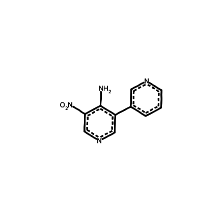 Nc1c(-c2cccnc2)cncc1[N+](=O)[O-]